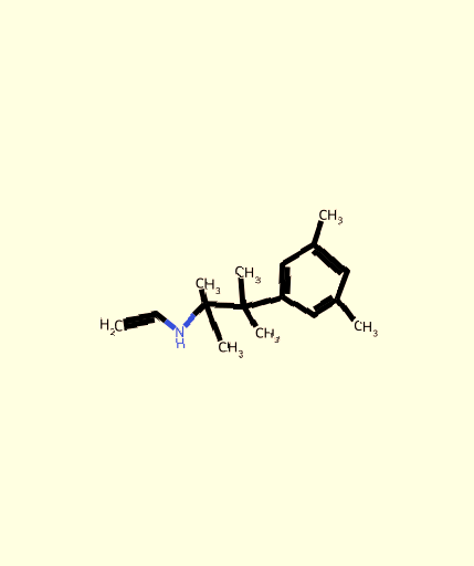 C=CNC(C)(C)C(C)(C)c1cc(C)cc(C)c1